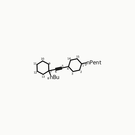 CCCCCC1CCC(C#CC2(CCCC)CCCCC2)CC1